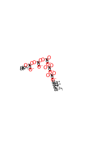 [Bi+3].[Bi+3].[K+].[K+].[Na+].[Na+].[O]=[Ti]([O-])[O-].[O]=[Ti]([O-])[O-].[O]=[Ti]([O-])[O-].[O]=[Ti]([O-])[O-].[O]=[Ti]([O-])[O-]